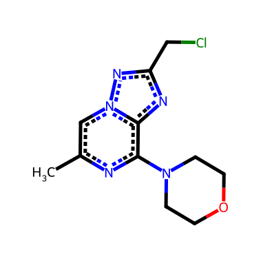 Cc1cn2nc(CCl)nc2c(N2CCOCC2)n1